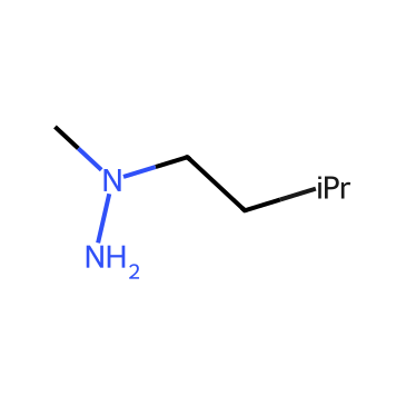 CC(C)CCN(C)N